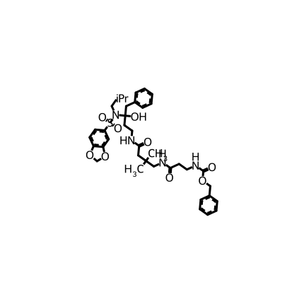 CC(C)CN(C(O)(CCNC(=O)CC(C)(C)CNC(=O)CCNC(=O)OCc1ccccc1)Cc1ccccc1)S(=O)(=O)c1ccc2c(c1)OCO2